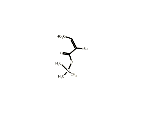 CC(C)(C)C(=CC(=O)O)C(=O)O[Si](C)(C)C